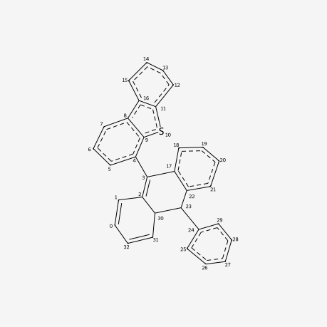 C1=CC2=C(c3cccc4c3sc3ccccc34)c3ccccc3C(c3ccccc3)C2C=C1